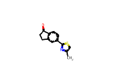 Cc1csc(-c2ccc3c(c2)CCC3=O)n1